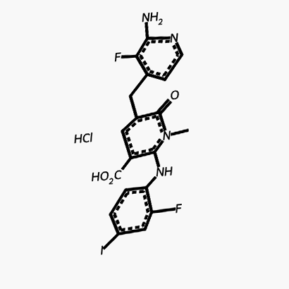 Cl.Cn1c(Nc2ccc(I)cc2F)c(C(=O)O)cc(Cc2ccnc(N)c2F)c1=O